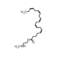 CC/C=C\C/C=C\C/C=C\C/C=C\C/C=C\CCCC(=O)OCCNC